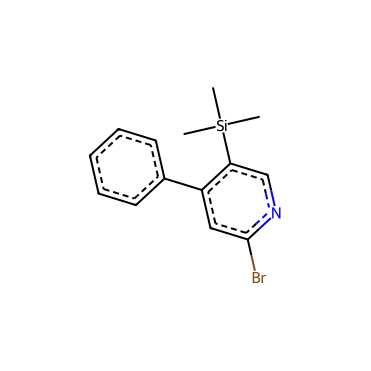 C[Si](C)(C)c1cnc(Br)cc1-c1ccccc1